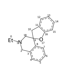 CCN1Cc2ccccc2C2(Cc3ccccc3O2)C1